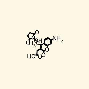 Cc1c(CC(=O)O)c(=O)oc2cc(N)ccc12.O=C1CCC(=O)N1O